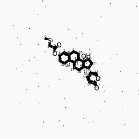 CSCC(=O)O[C@@H]1C=C2CCC3C(CC[C@]4(C)[C@@H](c5ccc(=O)oc5)CC[C@]34O)[C@@]2(C)CC1